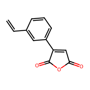 C=Cc1cccc(C2=CC(=O)OC2=O)c1